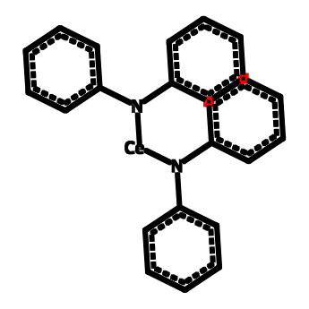 c1ccc([N]([Ce][N](c2ccccc2)c2ccccc2)c2ccccc2)cc1